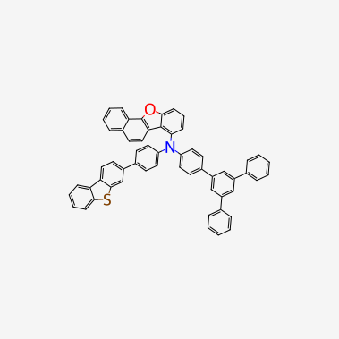 c1ccc(-c2cc(-c3ccccc3)cc(-c3ccc(N(c4ccc(-c5ccc6c(c5)sc5ccccc56)cc4)c4cccc5oc6c7ccccc7ccc6c45)cc3)c2)cc1